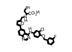 CC(C)CC(NCc1ccc(-c2ccc3ncnc(Nc4ccc(OCc5cccc(F)c5)c(Cl)c4)c3c2)o1)C(=O)O